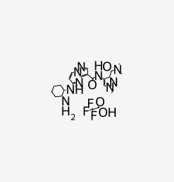 CN(C)C(=O)c1nn(C)cc1NC(=O)c1cnn2ccc(N[C@H]3CCCC[C@H]3N)nc12.O=C(O)C(F)(F)F